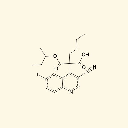 CCCCC(C(=O)O)(C(=O)OC(C)CC)c1c(C#N)cnc2ccc(I)cc12